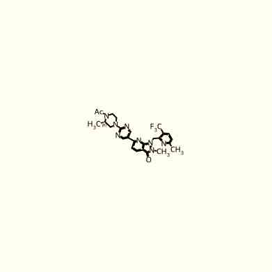 CC(=O)N1CCN(c2ncc(-c3ccc4c(=O)n(C)n(Cc5nc(C)ccc5C(F)(F)F)c4n3)cn2)C[C@H]1C